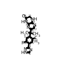 Cc1cc(-c2nc[nH]n2)c(F)cc1C(C)(C)c1cnc2c(n1)NC(=O)CN2